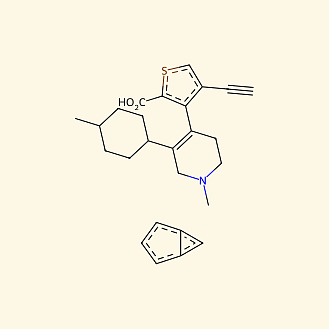 C#Cc1csc(C(=O)O)c1C1=C(C2CCC(C)CC2)CN(C)CC1.c1cc2cc-2c1